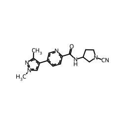 Cc1nn(C)cc1-c1ccc(C(=O)NC2CCN(C#N)C2)nc1